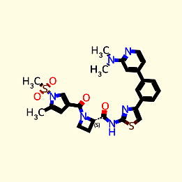 Cc1cc(C(=O)N2CC[C@H]2C(=O)Nc2nc(-c3cccc(-c4ccnc(N(C)C)c4)c3)cs2)cn1S(C)(=O)=O